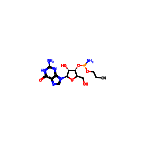 N#CCCOP(N)O[C@H]1[C@@H](O)[C@H](n2cnc3c(=O)[nH]c(N)nc32)O[C@@H]1CO